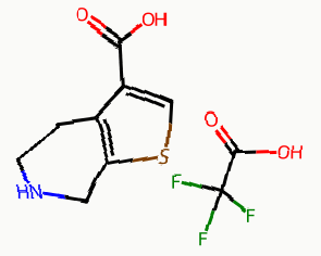 O=C(O)C(F)(F)F.O=C(O)c1csc2c1CCNC2